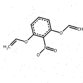 C=COc1cccc(OC=C)c1[N+](=O)[O-]